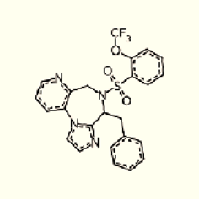 O=S(=O)(c1ccccc1OC(F)(F)F)N1Cc2ncccc2-n2ccnc2C1Cc1ccccc1